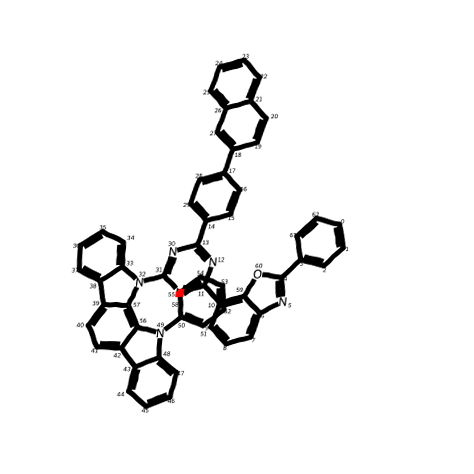 c1ccc(-c2nc3cccc(-c4nc(-c5ccc(-c6ccc7ccccc7c6)cc5)nc(-n5c6ccccc6c6ccc7c8ccccc8n(-c8ccccc8)c7c65)n4)c3o2)cc1